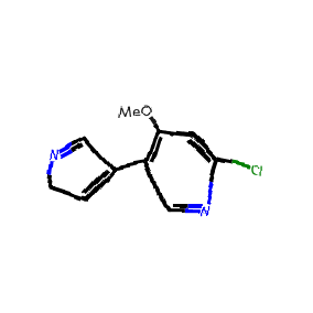 COc1cc(Cl)ncc1C1=CCN=C1